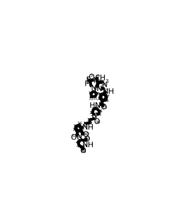 CN1C(=O)C(F)(F)CN(C2CCCC2)c2nc(Nc3ccc(C(=O)NC4CCN(C(=O)CCCNc5cccc6c5C(=O)N(C5CCC(=O)NC5=O)C6=O)CC4)cc3)ncc21